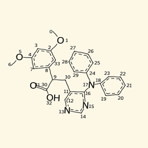 COc1cc(OC)cc(C(Cc2cncnc2N(c2ccccc2)c2ccccc2)C(=O)O)c1